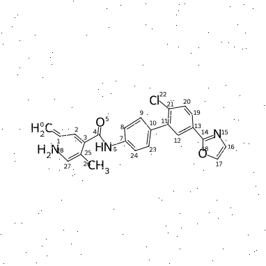 C=C/C=C(C(=O)Nc1ccc(-c2cc(-c3ncco3)ccc2Cl)cc1)\C(C)=C/N